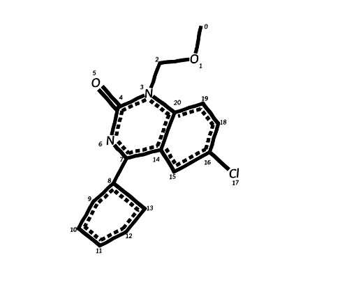 COCn1c(=O)nc(-c2ccccc2)c2cc(Cl)ccc21